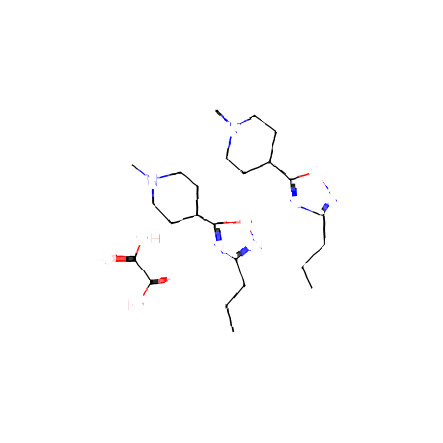 CCCc1noc(C2CCN(C)CC2)n1.CCCc1noc(C2CCN(C)CC2)n1.O=C(O)C(=O)O